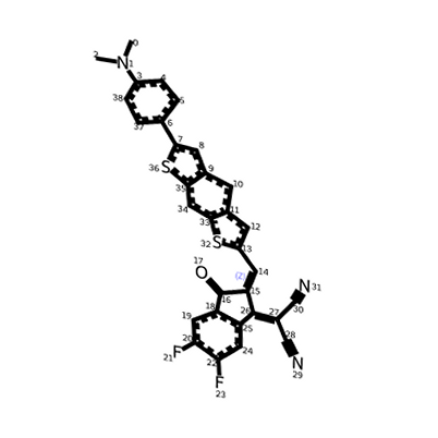 CN(C)c1ccc(-c2cc3cc4cc(/C=C5\C(=O)c6cc(F)c(F)cc6C5=C(C#N)C#N)sc4cc3s2)cc1